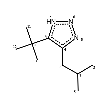 CC(C)Cc1nn[nH]c1C(C)(C)C